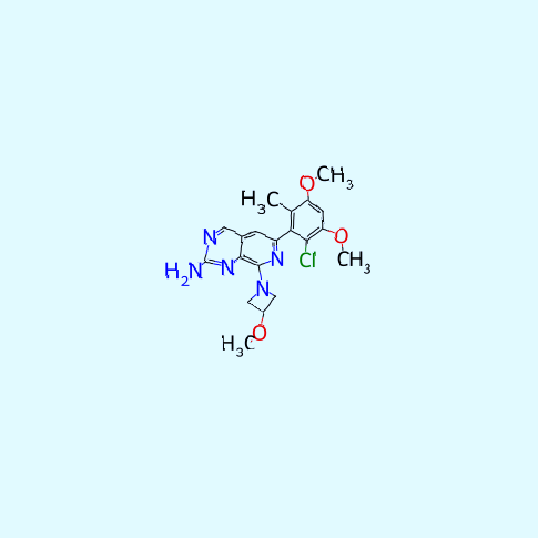 COc1cc(OC)c(Cl)c(-c2cc3cnc(N)nc3c(N3CC(OC)C3)n2)c1C